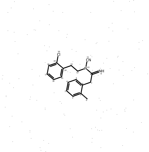 Cc1ccccc1CC(=N)N(C#N)CCc1ccccc1Cl